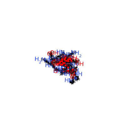 CC(C)C[C@H](NC(=O)[C@@H]1CCCN1C(=O)[C@@H]1CCCN1)C(=O)N[C@@H](CCCCN)C(=O)NCC(=O)N[C@@H](C)C(=O)NCC(=O)NCC(=O)N[C@@H](CCCCN)C(=O)N[C@@H](CCC(=O)O)C(=O)N[C@@H](CCCNC(=N)N)C(=O)N1CCC[C@H]1C(=O)NCC(=O)N[C@@H](CO)C(=O)N[C@@H](CCCCN)C(=O)N[C@@H](CCC(=O)O)C(=O)N[C@@H](CCC(=O)O)C(=O)N[C@H](C(=O)N[C@@H](CC(=O)O)C(=O)N[C@@H](CCC(=O)O)C(=O)O)C(C)C